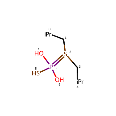 CC(C)CS(CC(C)C)=P(O)(O)S